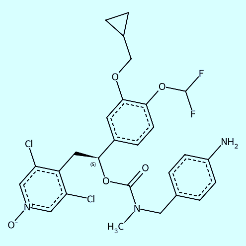 CN(Cc1ccc(N)cc1)C(=O)O[C@@H](Cc1c(Cl)c[n+]([O-])cc1Cl)c1ccc(OC(F)F)c(OCC2CC2)c1